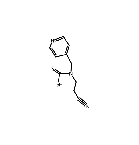 N#CCCN(Cc1ccncc1)C(=S)S